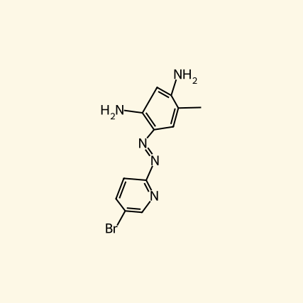 Cc1cc(N=Nc2ccc(Br)cn2)c(N)cc1N